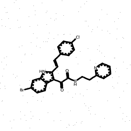 O=C(BCCc1ccccn1)C(=O)c1c(/C=C/c2ccc(Cl)cc2)[nH]c2cc(Br)ccc12